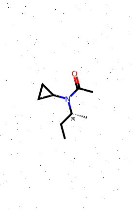 CC[C@@H](C)N(C(C)=O)C1CC1